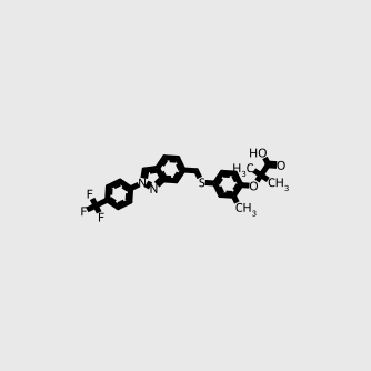 Cc1cc(SCc2ccc3cn(-c4ccc(C(F)(F)F)cc4)nc3c2)ccc1OC(C)(C)C(=O)O